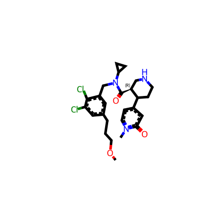 COCCCc1cc(Cl)c(Cl)c(CN(C(=O)[C@H]2CNCCC2c2ccn(C)c(=O)c2)C2CC2)c1